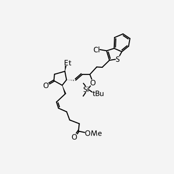 CC[C@@H]1CC(=O)[C@H](C/C=C\CCCC(=O)OC)[C@H]1/C=C/C(CCc1sc2ccccc2c1Cl)O[Si](C)(C)C(C)(C)C